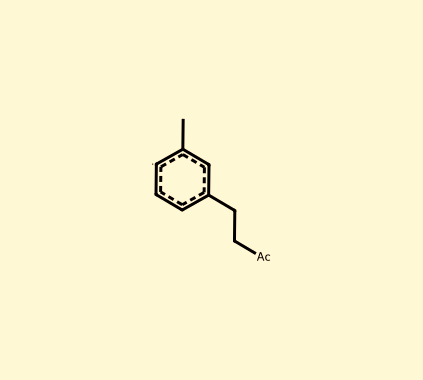 CC(=O)CCc1cc[c]c(C)c1